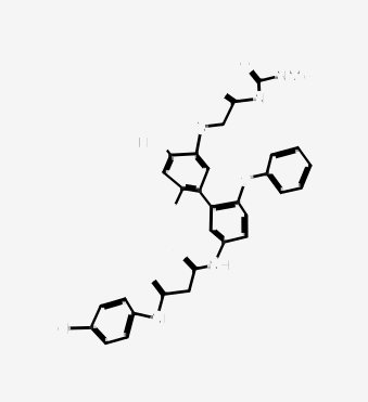 CNC(=O)NC(=O)CNc1cc(-c2cc(NC(=O)CC(=O)Nc3ccc(Cl)cc3)ccc2Oc2ccccc2)c(F)cc1C